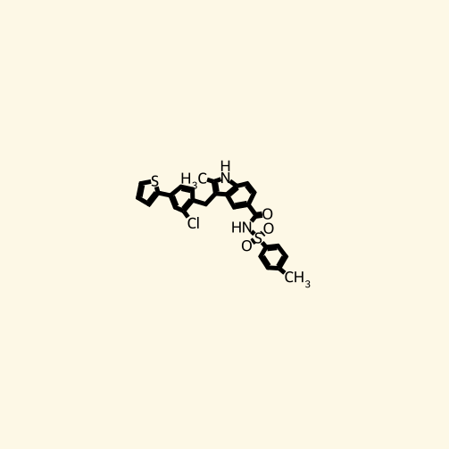 Cc1ccc(S(=O)(=O)NC(=O)c2ccc3[nH]c(C)c(Cc4ccc(-c5cccs5)cc4Cl)c3c2)cc1